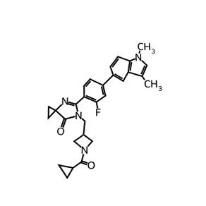 Cc1cn(C)c2ccc(-c3ccc(C4=NC5(CC5)C(=O)N4CC4CN(C(=O)C5CC5)C4)c(F)c3)cc12